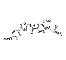 COc1ccc(-c2csc(NC(=O)c3ccc(OCC(N)=O)c(OC)c3)n2)cc1